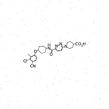 Cc1c(OC2CCC(NC(=O)c3ccc(N4CCC(C(=O)O)CC4)nn3)CC2)ccc(C#N)c1Cl